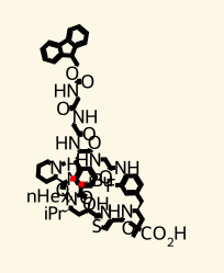 CCCCCCN(C(=O)[C@@H](NC(=O)[C@H]1CCCCN1C)[C@@H](C)CC)[C@H](C[C@@H](O)c1nc(C(=O)N[C@@H](Cc2ccc(NC(=O)CNC(=O)[C@H](Cc3ccccc3)NC(=O)CNC(=O)CNC(=O)OCC3c4ccccc4-c4ccccc43)c(F)c2)CC(C)(C)C(=O)O)cs1)C(C)C